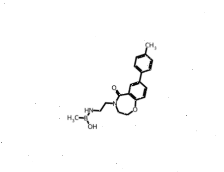 CB(O)NCCN1CCOc2ccc(-c3ccc(C)cc3)cc2C1=O